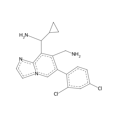 NCc1c(-c2ccc(Cl)cc2Cl)cn2ccnc2c1C(N)C1CC1